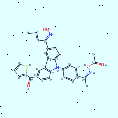 C/C=C/C(=N\O)c1ccc2c(c1)c1cc(C(=O)c3cccs3)ccc1n2-c1ccc(/C(C)=N\OC(C)=O)cc1